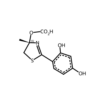 C[C@]1(OC(=O)O)CSC(c2ccc(O)cc2O)=N1